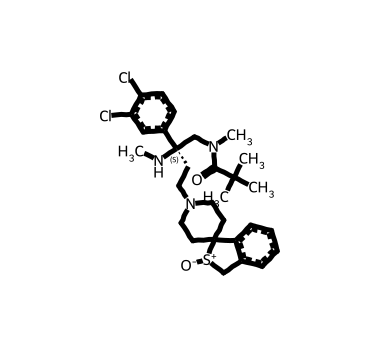 CN[C@](CCN1CCC2(CC1)c1ccccc1C[S+]2[O-])(CN(C)C(=O)C(C)(C)C)c1ccc(Cl)c(Cl)c1